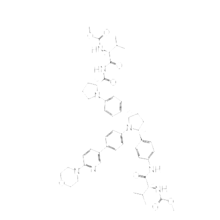 COC(=O)N[C@H](C(=O)NC(=O)[C@@H]1CCCN1c1ccc([C@@H]2CC[C@@H](c3ccc(NC(=O)[C@@H](NC(=O)OC)C(C)C)cc3)N2c2ccc(-c3ccc(N4CCOCC4)nc3)cc2)cc1)C(C)C